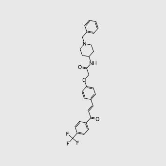 O=C(COc1ccc(C=CC(=O)c2ccc(C(F)(F)F)cc2)cc1)NC1CCN(Cc2ccccc2)CC1